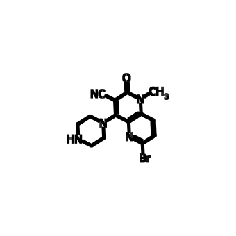 Cn1c(=O)c(C#N)c(N2CCNCC2)c2nc(Br)ccc21